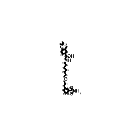 CC1(C)OCc2cc([C@H](O)CNCCCCCCCOCCCc3cccc(S(N)(=O)=O)c3)ccc2O1